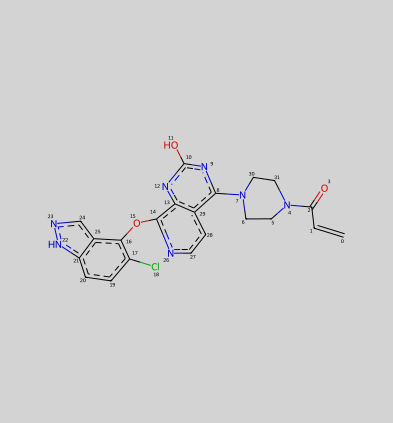 C=CC(=O)N1CCN(c2nc(O)nc3c(Oc4c(Cl)ccc5[nH]ncc45)nccc23)CC1